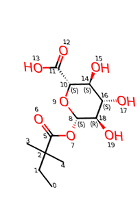 CCC(C)(C)C(=O)O[C@@H]1O[C@H](C(=O)O)[C@@H](O)[C@H](O)[C@H]1O